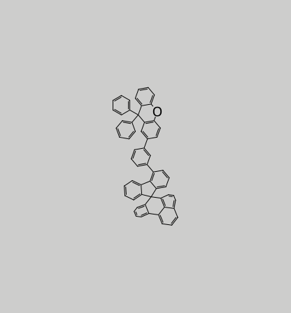 c1ccc(C2(c3ccccc3)c3ccccc3Oc3ccc(-c4cccc(-c5cccc6c5-c5ccccc5C65c6ccccc6-c6cccc7cccc5c67)c4)cc32)cc1